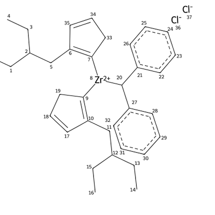 CCC(CC)CC1=[C]([Zr+2]([C]2=C(CC(CC)CC)C=CC2)[CH](c2ccccc2)c2ccccc2)CC=C1.[Cl-].[Cl-]